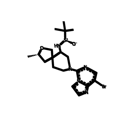 C[C@H]1CC2(CCN(c3ncc(Br)c4nccn34)CC2N[S@+]([O-])C(C)(C)C)CO1